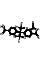 O=C(O)c1ccc(C(c2ccc3c(c2)C(=O)OC3=O)(C(F)(F)F)C(F)(F)F)cc1